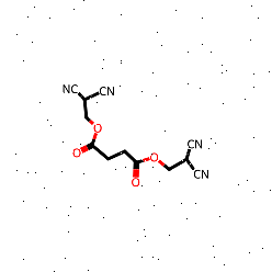 N#CC(C#N)COC(=O)CCC(=O)OCC(C#N)C#N